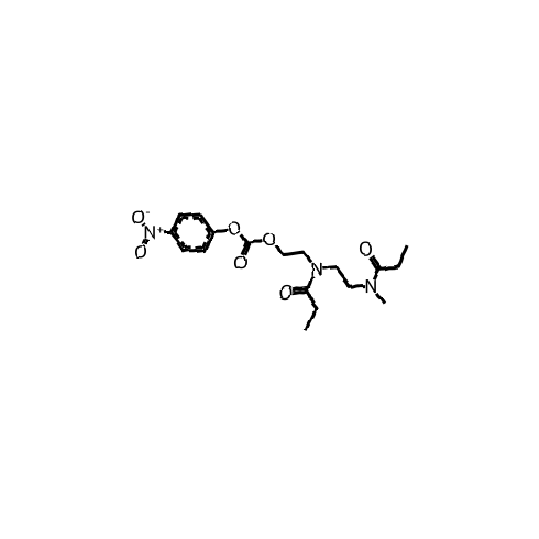 CCC(=O)N(C)CCN(CCOC(=O)Oc1ccc([N+](=O)[O-])cc1)C(=O)CC